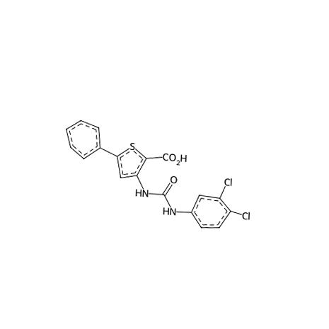 O=C(Nc1ccc(Cl)c(Cl)c1)Nc1cc(-c2ccccc2)sc1C(=O)O